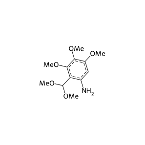 COc1cc(N)c(C(OC)OC)c(OC)c1OC